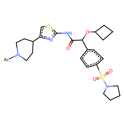 CC(=O)N1CCC(c2csc(NC(=O)C(OC3CCC3)c3ccc(S(=O)(=O)N4CCCC4)cc3)n2)CC1